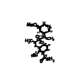 CCCCc1c(CC(C)S(=O)(=O)N(C)c2cncc(OC)c2)cccc1C(N)=O